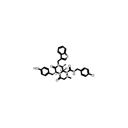 C[C@H]1[C@H]2N(C(=O)CN(C)N2C(=O)NCc2ccc(Cl)cc2)[C@@H](Cc2ccc(O)cc2)C(=O)N1Cc1csc2ccccc12